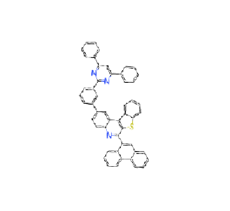 c1ccc(-c2cc(-c3ccccc3)nc(-c3cccc(-c4ccc5nc(-c6cc7ccccc7c7ccccc67)c6sc7ccccc7c6c5c4)c3)n2)cc1